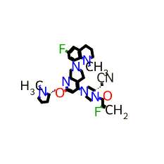 C=C(F)C(=O)N1CCN(c2cc(OC[C@@H]3CCCN3C)nc3c2CCN(c2cc(F)cc4c2N(C)CCC4)C3)C[C@@H]1CC#N